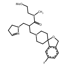 COCCN(C)C(=O)C(CN1CCC2(CC1)OCc1ccc(F)cc12)CN1CCC=N1